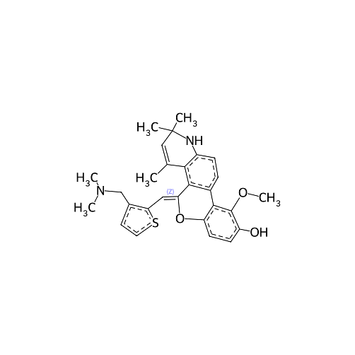 COc1c(O)ccc2c1-c1ccc3c(c1/C(=C/c1sccc1CN(C)C)O2)C(C)=CC(C)(C)N3